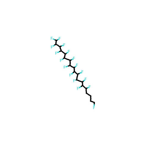 FCCCCC(F)C(F)C(F)C(F)C(F)C(F)C(F)C(F)C(F)C(F)C(F)C(F)C(F)C(F)C(F)F